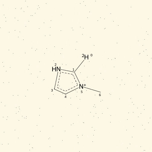 [2H]c1[nH]cc[n+]1C